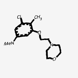 CNc1cc(Cl)c(C)c(OCCN2CCOCC2)c1